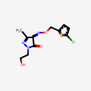 CC1=NN(CCO)C(=O)C1=NOCc1ccc(Cl)s1